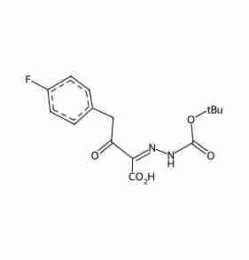 CC(C)(C)OC(=O)NN=C(C(=O)O)C(=O)Cc1ccc(F)cc1